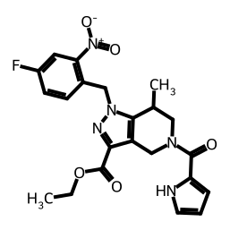 CCOC(=O)c1nn(Cc2ccc(F)cc2[N+](=O)[O-])c2c1CN(C(=O)c1ccc[nH]1)CC2C